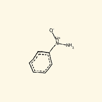 N[NH+]([O-])c1ccccc1